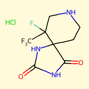 Cl.O=C1NC(=O)C2(CCNCC2(F)C(F)(F)F)N1